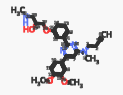 C#CCCN(C)c1cc(-c2ccc(OC)c(OC)c2)nc(-c2cccc(OCC(O)CNC)c2)n1